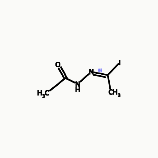 CC(=O)N/N=C(\C)I